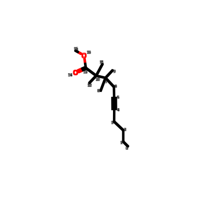 CCCCC#CCC(C)(C)C(C)(C)C(=O)OC